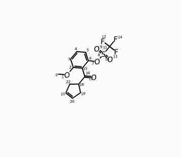 COc1cccc(OS(=O)(=O)C(F)(F)F)c1C(=O)C1CC=CC1